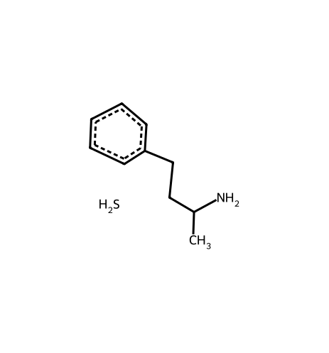 CC(N)CCc1ccccc1.S